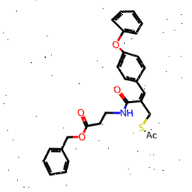 CC(=O)SC/C(=C/c1ccc(Oc2ccccc2)cc1)C(=O)NCCC(=O)OCc1ccccc1